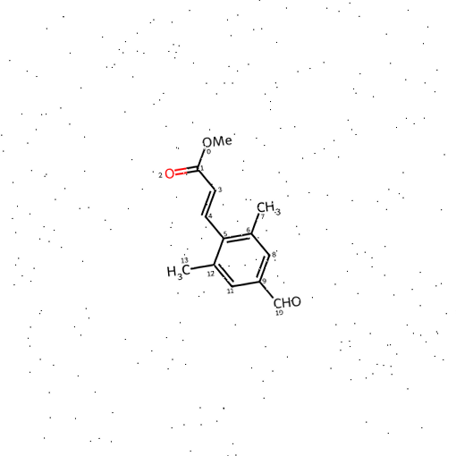 COC(=O)C=Cc1c(C)cc(C=O)cc1C